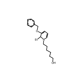 CCC1C(OCc2ccccc2)=CC=CN1CCCCCCO